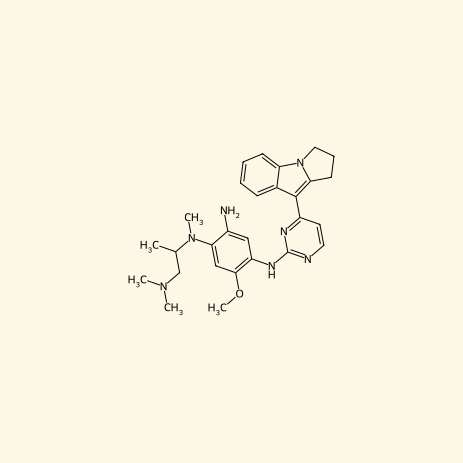 COc1cc(N(C)C(C)CN(C)C)c(N)cc1Nc1nccc(-c2c3n(c4ccccc24)CCC3)n1